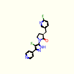 O=C1[C@H](Cc2ccc(F)nc2)CCN1c1[nH]nc(-c2ccncc2)c1F